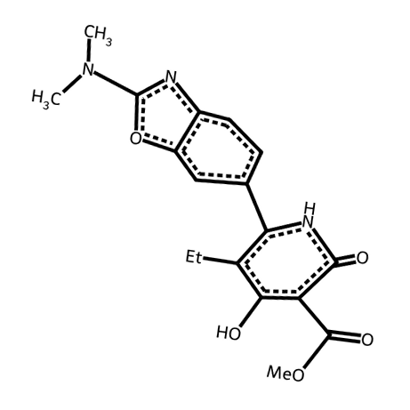 CCc1c(-c2ccc3nc(N(C)C)oc3c2)[nH]c(=O)c(C(=O)OC)c1O